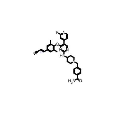 Cc1cc(/C=C/C#N)cc(C)c1Oc1nc(NC2CCN(Cc3ccc(C(N)=O)cc3)CC2)ncc1-c1ccnc(F)c1